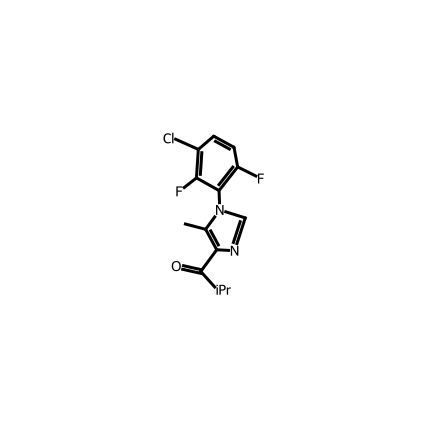 Cc1c(C(=O)C(C)C)ncn1-c1c(F)ccc(Cl)c1F